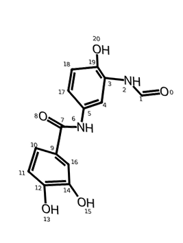 O=CNc1cc(NC(=O)c2ccc(O)c(O)c2)ccc1O